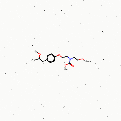 CCCCCOCCN(CCOc1ccc(CC(OCC)C(=O)O)cc1)C(=O)OC(C)CC